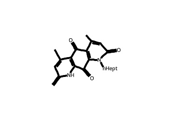 C=C1C=C(C)C2=C(N1)C(=O)c1c(c(C)cc(=O)n1CCCCCCC)C2=O